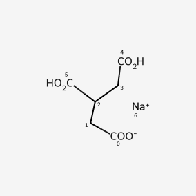 O=C([O-])CC(CC(=O)O)C(=O)O.[Na+]